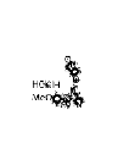 COc1ccc(S(=O)(=O)N(C)CCN(CCCOc2ccc3c(ccc(=O)n3C)c2)Cc2ccncc2)cc1.Cl.Cl